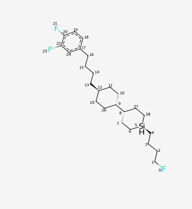 FCCCC[Si@H]1CC[C@H]([C@H]2CC[C@H](CCCCc3ccc(F)c(F)c3)CC2)CC1